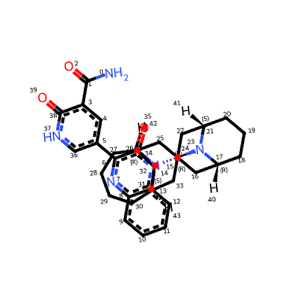 NC(=O)c1cc(-c2nc3ccccc3n([C@H]3C[C@H]4CCC[C@@H](C3)N4[C@@H]3C[C@@H]4CCCC[C@@H](C4)C3)c2=O)c[nH]c1=O